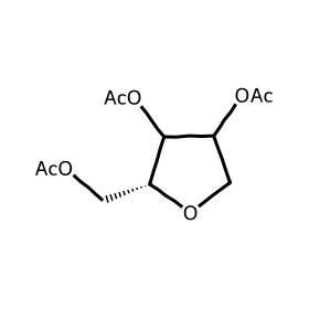 CC(=O)OC[C@H]1OCC(OC(C)=O)C1OC(C)=O